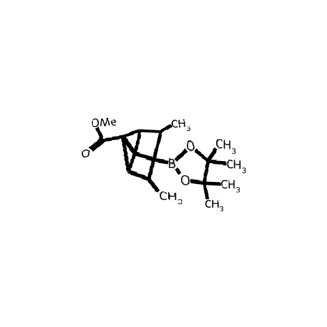 COC(=O)C12C3C(C)C4(B5OC(C)(C)C(C)(C)O5)C(C)C1C342